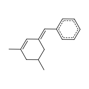 CC1=CC(=Cc2ccccc2)CC(C)C1